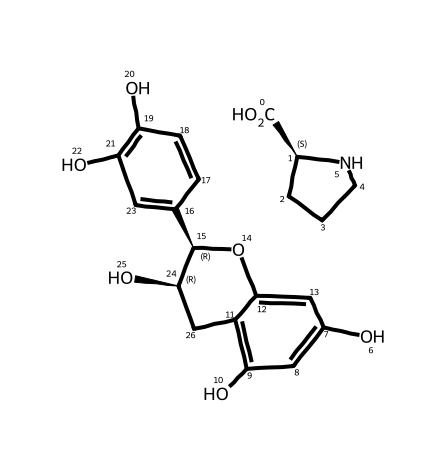 O=C(O)[C@@H]1CCCN1.Oc1cc(O)c2c(c1)O[C@H](c1ccc(O)c(O)c1)[C@H](O)C2